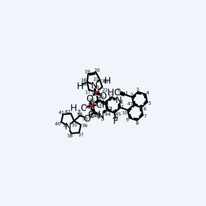 C#Cc1cccc2cccc(-c3ncc4c(N5C[C@@H]6C=C[C@@H](C5)N6C(=O)OC(C)(C)C)nc(OCC56CCCN5CCC6)nc4c3F)c12